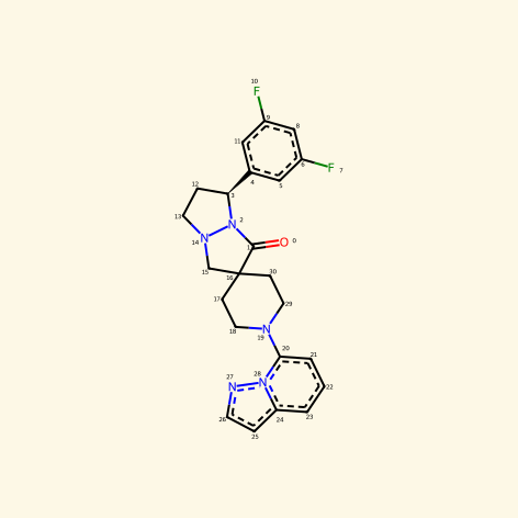 O=C1N2[C@H](c3cc(F)cc(F)c3)CCN2CC12CCN(c1cccc3ccnn13)CC2